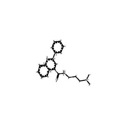 CN(C)CCCNC(=O)c1cc(-c2ccccc2)nc2ccccc12